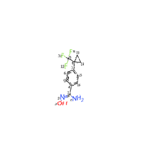 N/C(=N\O)c1ccc(C2(C(F)(F)F)CC2)cc1